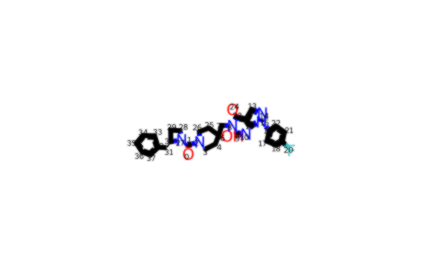 O=C(N1CCC(O)(Cn2cnc3c(cnn3-c3ccc(F)cc3)c2=O)CC1)N1CC[C@H]1Cc1ccccc1